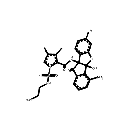 Cc1cn(S(=O)(=O)NCCN)c(C(=O)NC23C(=O)c4cccc([N+](=O)[O-])c4C2(O)Oc2cc(C(C)C)ccc23)c1C